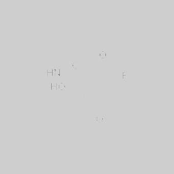 N=C=O.O=C(O)CF